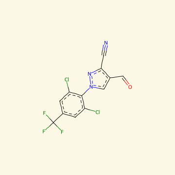 N#Cc1nn(-c2c(Cl)cc(C(F)(F)F)cc2Cl)cc1C=O